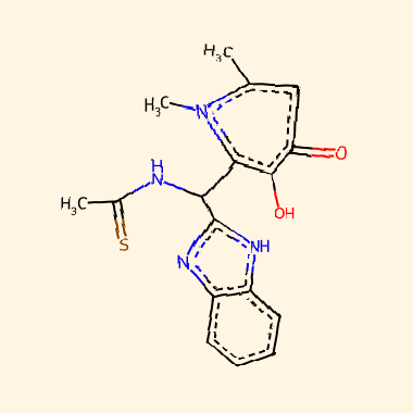 CC(=S)NC(c1nc2ccccc2[nH]1)c1c(O)c(=O)cc(C)n1C